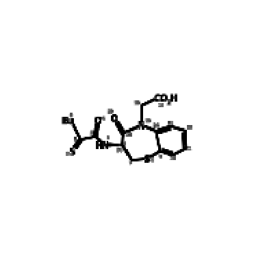 CCC(C)C(=S)C(=O)N[C@@H]1CSc2ccccc2N(CC(=O)O)C1=O